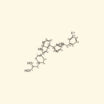 OCC(O)CN1CC=C(c2cc3c(-c4cncc(NCc5cccc(F)c5)n4)ccnc3[nH]2)CC1